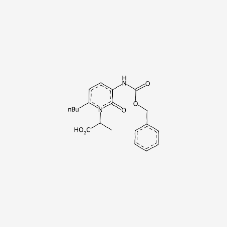 CCCCc1ccc(NC(=O)OCc2ccccc2)c(=O)n1C(C)C(=O)O